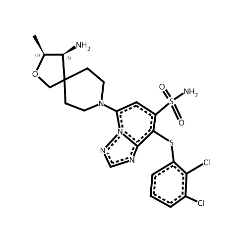 C[C@@H]1OCC2(CCN(c3cc(S(N)(=O)=O)c(Sc4cccc(Cl)c4Cl)c4ncnn34)CC2)[C@@H]1N